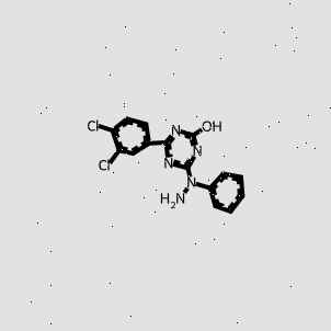 NN(c1ccccc1)c1nc(O)nc(-c2ccc(Cl)c(Cl)c2)n1